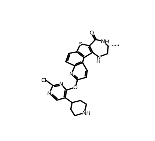 C[C@@H]1CNc2c(sc3ccc4nc(Oc5nc(Cl)ncc5C5CCNCC5)ccc4c23)C(=O)N1